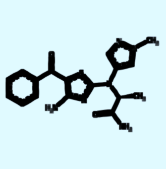 C[C@@H](C(N)=O)N(c1cnn(C)c1)c1nc(N)c(C(=O)c2ccccc2)s1